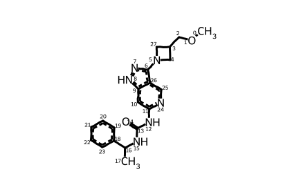 COCC1CN(c2n[nH]c3cc(NC(=O)NC(C)c4ccccc4)ncc23)C1